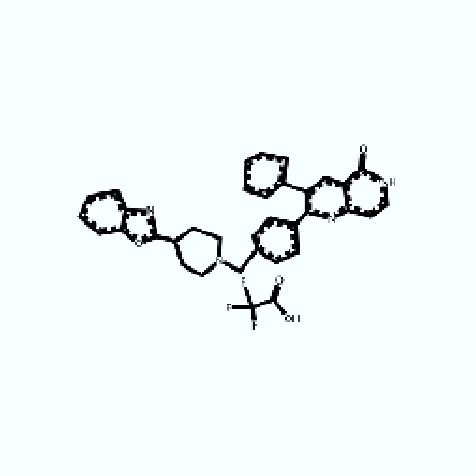 O=C(O)C(F)(F)F.O=c1[nH]ccc2nc(-c3ccc(CN4CCC(c5nc6ccccc6o5)CC4)cc3)c(-c3ccccc3)cc12